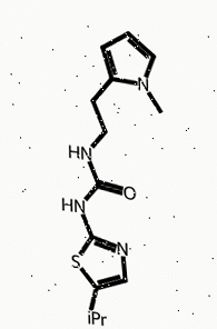 CC(C)c1cnc(NC(=O)NCCc2cccn2C)s1